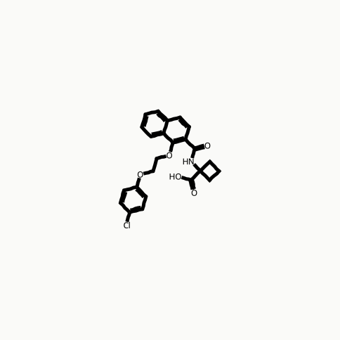 O=C(NC1(C(=O)O)CCC1)c1ccc2ccccc2c1OCCOc1ccc(Cl)cc1